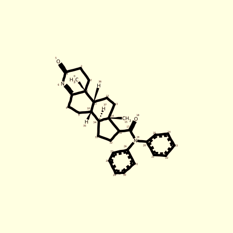 C[C@]12CCC(=O)N=C1CC[C@@H]1[C@H]2CC[C@]2(C)C(C(=O)N(c3ccccc3)c3ccccc3)CC[C@@H]12